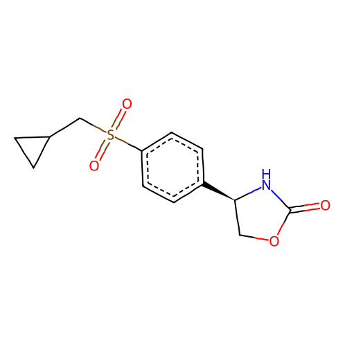 O=C1N[C@H](c2ccc(S(=O)(=O)CC3CC3)cc2)CO1